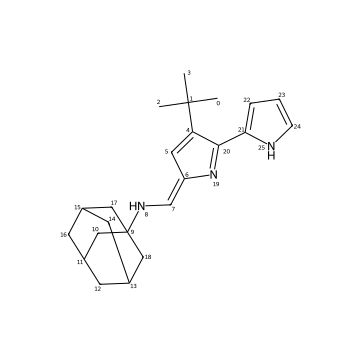 CC(C)(C)C1=C/C(=C\NC23CC4CC(CC(C4)C2)C3)N=C1c1ccc[nH]1